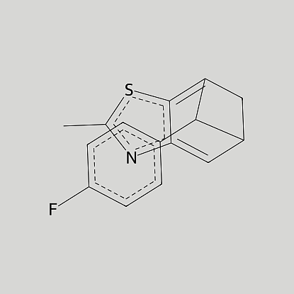 Cc1nc2c(s1)=C1CC(C=2)C1c1ccc(F)cc1